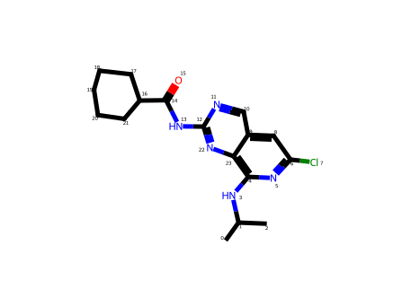 CC(C)Nc1nc(Cl)cc2cnc(NC(=O)C3CCCCC3)nc12